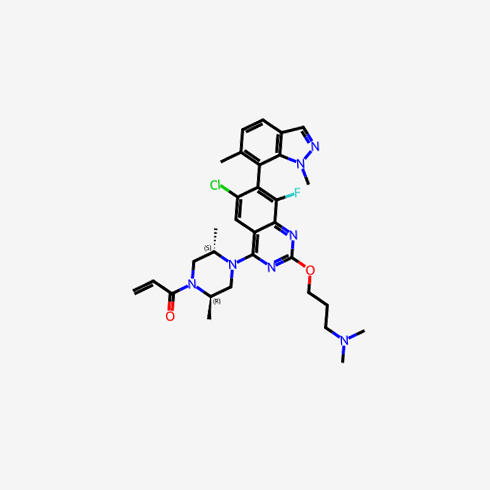 C=CC(=O)N1C[C@H](C)N(c2nc(OCCCN(C)C)nc3c(F)c(-c4c(C)ccc5cnn(C)c45)c(Cl)cc23)C[C@H]1C